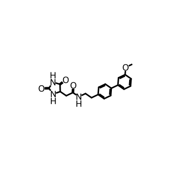 COc1cccc(-c2ccc(CCNC(=O)CC3NC(=O)NC3=O)cc2)c1